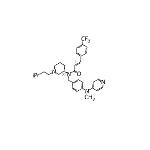 CC(C)CCN1CCC[C@@H](N(Cc2ccc(N(C)c3ccncc3)cc2)C(=O)/C=C/c2ccc(C(F)(F)F)cc2)C1